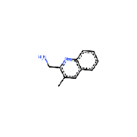 Cc1cc2ccccc2nc1CN